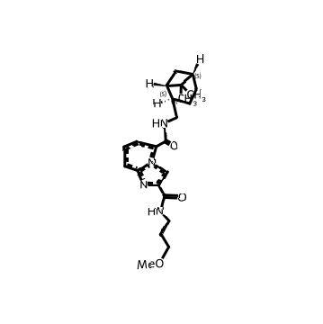 COCCCNC(=O)c1cn2c(C(=O)NC[C@@H]3CC[C@H]4C[C@@H]3C4(C)C)cccc2n1